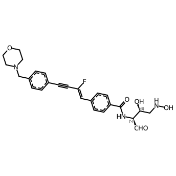 O=C[C@@H](NC(=O)c1ccc(C=C(F)C#Cc2ccc(CN3CCOCC3)cc2)cc1)[C@@H](O)CNO